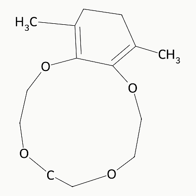 CC1=C2OCCOCCOCCOC2=C(C)CC1